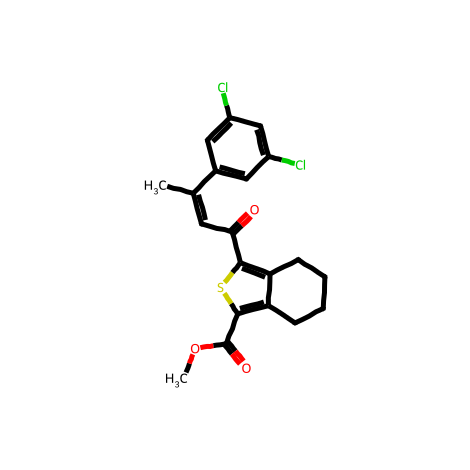 COC(=O)c1sc(C(=O)/C=C(/C)c2cc(Cl)cc(Cl)c2)c2c1CCCC2